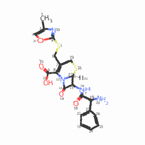 Cc1coc(SCC2=C(C(=O)O)N3C(=O)C(NC(=O)C(N)c4ccccc4)[C@@H]3SC2)n1